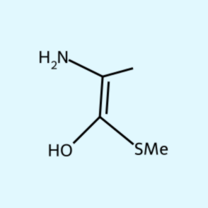 CS/C(O)=C(\C)N